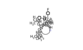 CC(C)n1c(O[C@@H]2C[C@H]3C(=O)N[C@]4(C(=O)NS(=O)(=O)C5(C)CC5)C[C@H]4/C=C\CCCCC[C@H](NC(=O)OC(C)(C)C)C(=O)N3C2)nc2c(-c3nc(Cc4ccc(F)cc4)cs3)cccc21